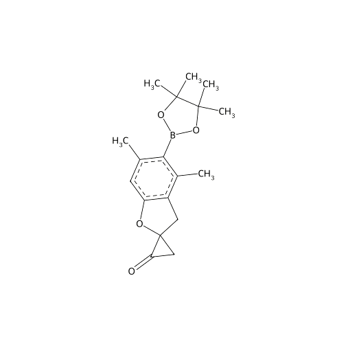 Cc1cc2c(c(C)c1B1OC(C)(C)C(C)(C)O1)CC1(CC1=O)O2